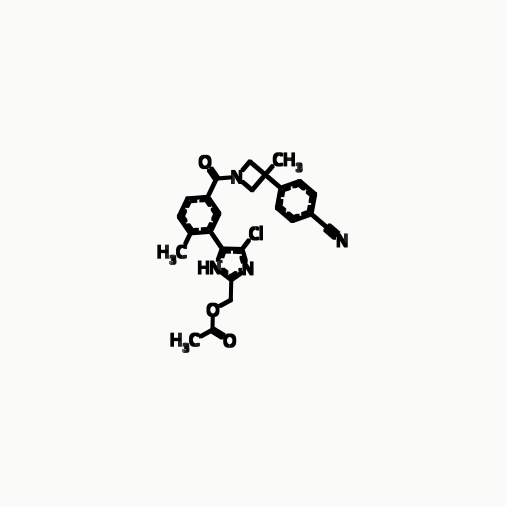 CC(=O)OCc1nc(Cl)c(-c2cc(C(=O)N3CC(C)(c4ccc(C#N)cc4)C3)ccc2C)[nH]1